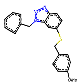 COc1ccc(CSc2ccc3nnn(Cc4ccccc4)c3c2)cc1